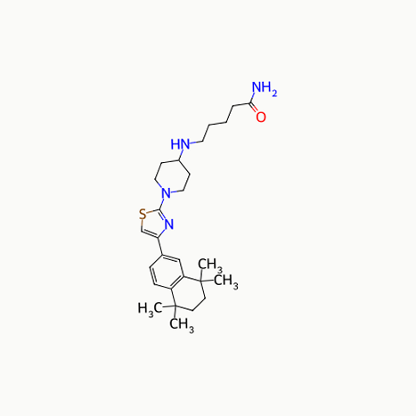 CC1(C)CCC(C)(C)c2cc(-c3csc(N4CCC(NCCCCC(N)=O)CC4)n3)ccc21